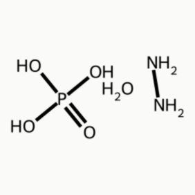 NN.O.O=P(O)(O)O